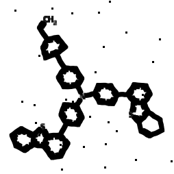 C=Cc1ccc(-c2ccc(N(c3ccc(-c4cccc5c6c(sc45)C=CCC6)cc3)c3ccc(-c4cccc5c4sc4ccccc45)cc3)cc2)cc1